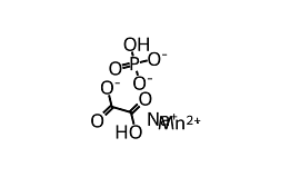 O=C([O-])C(=O)O.O=P([O-])([O-])O.[Mn+2].[Na+]